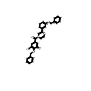 O=C(c1cc(Cl)c(OCc2ccccc2)c(Cl)c1)N1C=COC(C2=CC(OCc3ccccc3)=CCC2)=C1